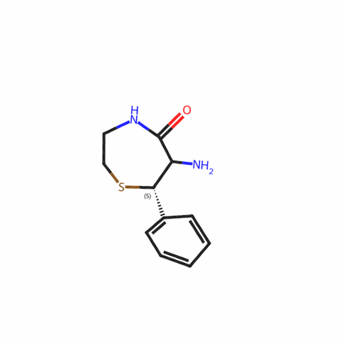 NC1C(=O)NCCS[C@H]1c1ccccc1